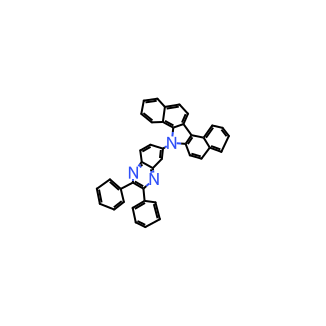 c1ccc(-c2nc3ccc(-n4c5ccc6ccccc6c5c5ccc6ccccc6c54)cc3nc2-c2ccccc2)cc1